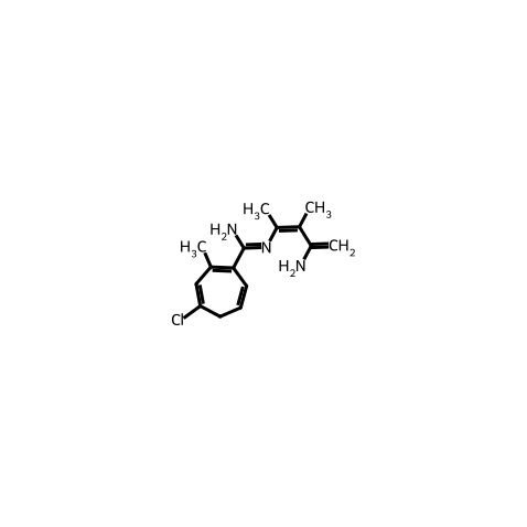 C=C(N)/C(C)=C(C)\N=C(/N)C1=C(C)C=C(Cl)CC=C1